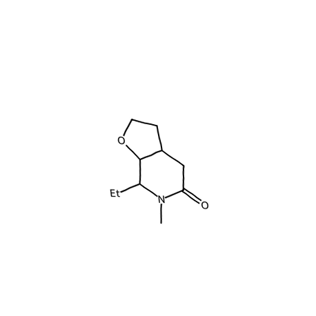 CCC1C2OCCC2CC(=O)N1C